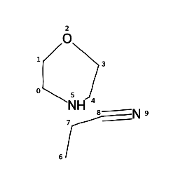 C1COCCN1.CCC#N